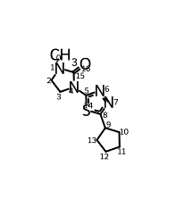 CN1CCN(c2nnc(C3CCCC3)s2)C1=O